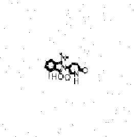 CN(C)C1c2cccc(I)c2C(O)N1C1CCC(=O)NC1=O